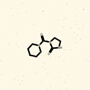 O=C1NCCN1C(=O)N1CC[CH]CC1